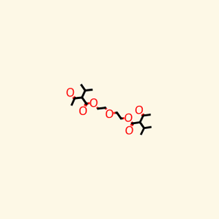 CC(=O)C(C(=O)OCCOCCOC(=O)C(C(C)=O)C(C)C)C(C)C